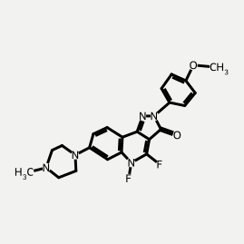 COc1ccc(-n2nc3c4ccc(N5CCN(C)CC5)cc4n(F)c(F)c-3c2=O)cc1